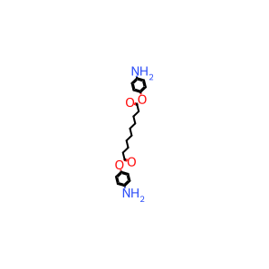 Nc1ccc(OC(=O)CCCCCCCCC(=O)Oc2ccc(N)cc2)cc1